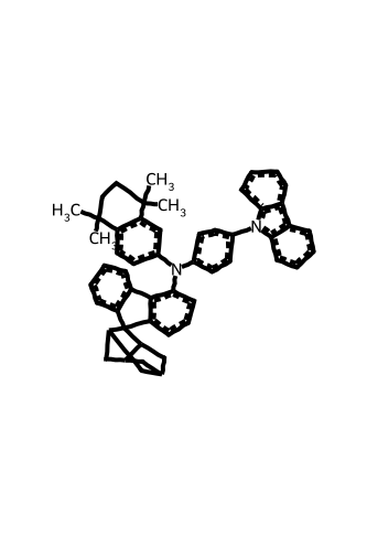 CC1(C)CCC(C)(C)c2cc(N(c3ccc(-n4c5ccccc5c5ccccc54)cc3)c3cccc4c3-c3ccccc3C43C4CC5CC(C4)C3C5)ccc21